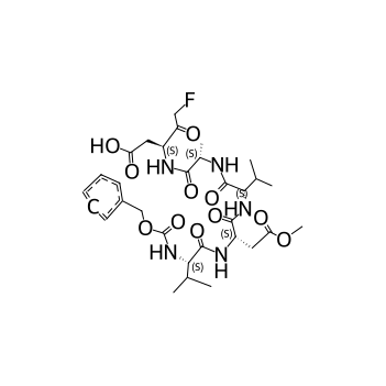 COC(=O)C[C@H](NC(=O)[C@@H](NC(=O)OCc1ccccc1)C(C)C)C(=O)N[C@H](C(=O)N[C@@H](C)C(=O)N[C@@H](CC(=O)O)C(=O)CF)C(C)C